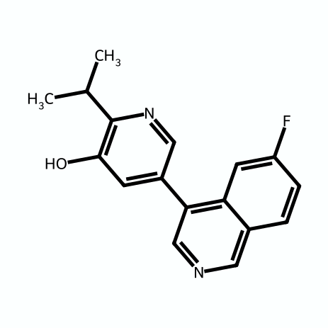 CC(C)c1ncc(-c2cncc3ccc(F)cc23)cc1O